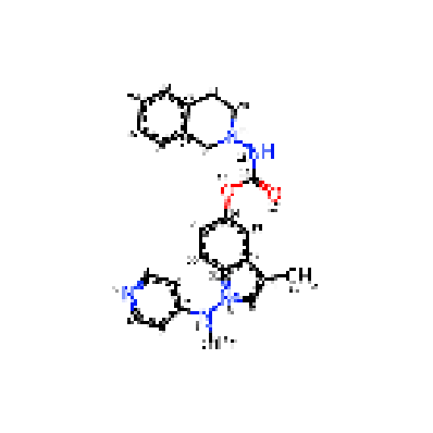 CCCN(c1ccncc1)n1cc(C)c2cc(OC(=O)NN3CCc4ccccc4C3)ccc21